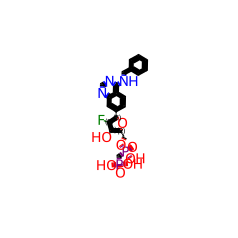 O=P(O)(O)CP(=O)(O)OC[C@H]1O[C@@H](c2ccc3c(NCc4ccccc4)ncnc3c2)[C@@H](F)[C@@H]1O